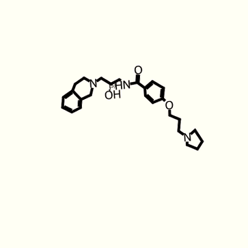 O=C(NC[C@H](O)CN1CCc2ccccc2C1)c1ccc(OCCCN2CCCC2)cc1